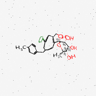 Cc1ccc(Cc2cc3c(cc2Cl)CO[C@]32O[C@H](C)[C@@H](O)[C@H](O)[C@H]2O)cc1